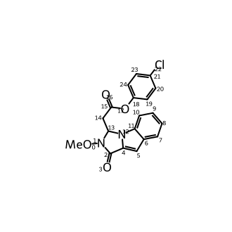 CON1C(=O)c2cc3ccccc3n2C1CC(=O)Oc1ccc(Cl)cc1